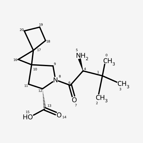 CC(C)(C)[C@H](N)C(=O)N1CC2(C[C@H]1C(=O)O)CC21CCC1